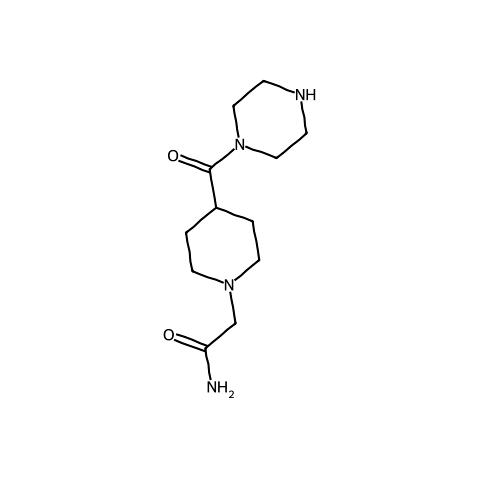 NC(=O)CN1CCC(C(=O)N2CCNCC2)CC1